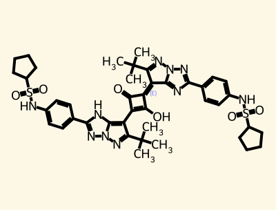 CC(C)(C)c1nn2nc(-c3ccc(NS(=O)(=O)C4CCCC4)cc3)[nH]c2c1C1=C(O)/C(=c2/c(C(C)(C)C)nn3nc(-c4ccc(NS(=O)(=O)C5CCCC5)cc4)nc23)C1=O